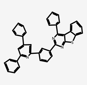 c1ccc(-c2cc(-c3ccccc3)nc(-c3cccc(-c4nc(-c5ccccc5)c5c(n4)sc4ccccc45)c3)c2)cc1